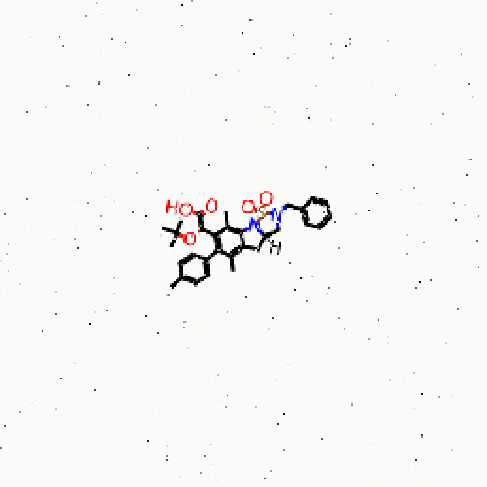 Cc1ccc(-c2c(C)c3c(c(C)c2[C@H](OC(C)(C)C)C(=O)O)N2[C@H](C3)CN(Cc3ccccc3)S2(=O)=O)cc1